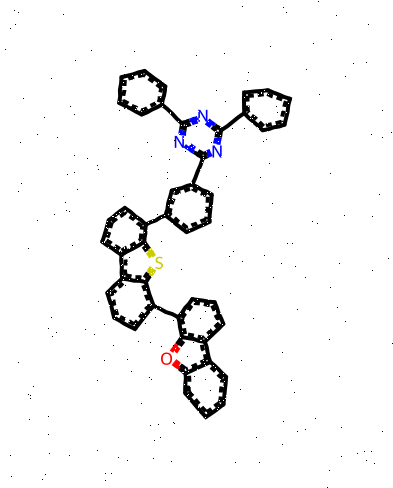 c1ccc(-c2nc(-c3ccccc3)nc(-c3cccc(-c4cccc5c4sc4c(-c6cccc7c6oc6ccccc67)cccc45)c3)n2)cc1